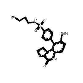 COc1ccc2[nH]c(=O)c3sccc3c2c1-c1ccc(S(=O)(=O)NCCCO)cc1